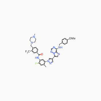 COc1ccc(CNc2ncnn3c(-c4cnn(-c5cc(NC(=O)c6ccc(CN7CCN(C)CC7)c(C(F)(F)F)c6)c(F)cc5C)c4)cnc23)cc1